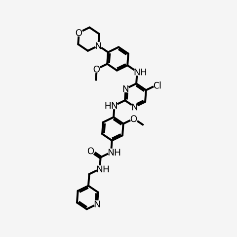 COc1cc(NC(=O)NCc2cccnc2)ccc1Nc1ncc(Cl)c(Nc2ccc(N3CCOCC3)c(OC)c2)n1